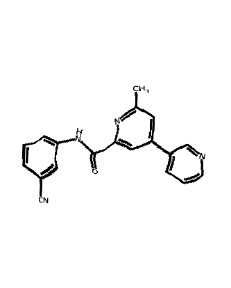 Cc1cc(-c2cccnc2)cc(C(=O)Nc2cccc(C#N)c2)n1